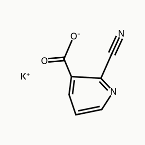 N#Cc1ncccc1C(=O)[O-].[K+]